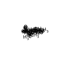 CC(C)C1=C2[C@H]3CC[C@@H]4[C@@]5(C)CC[C@H](OC(=O)CC(C)(C)C(=O)O)C(C)(C)[C@@H]5CC[C@@]4(C)[C@]3(C)CCC2(C(O)CN(CCN2CCOCC2)Cc2ccccc2)CC1=O